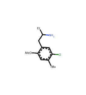 CCCCc1cc(OC)c(CC(N)CC)cc1Cl